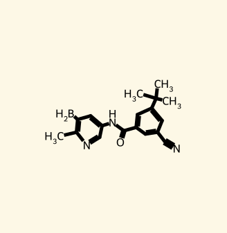 Bc1cc(NC(=O)c2cc(C#N)cc(C(C)(C)C)c2)cnc1C